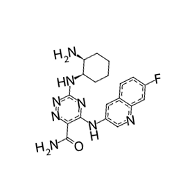 NC(=O)c1nnc(N[C@@H]2CCCC[C@@H]2N)nc1Nc1cnc2cc(F)ccc2c1